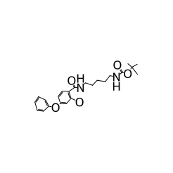 COc1cc(Oc2ccccc2)ccc1C(=O)NCCCCCNC(=O)OC(C)(C)C